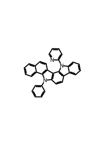 c1ccc(-n2c3ccc4c5ccccc5n(-c5ccccn5)c4c3c3ccc4ccccc4c32)cc1